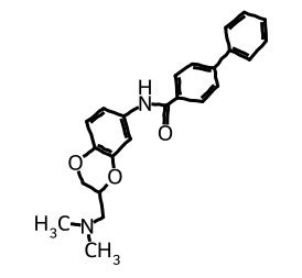 CN(C)CC1COc2ccc(NC(=O)c3ccc(-c4ccccc4)cc3)cc2O1